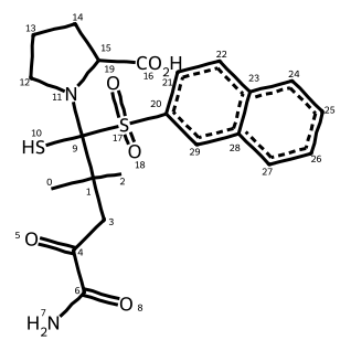 CC(C)(CC(=O)C(N)=O)C(S)(N1CCCC1C(=O)O)S(=O)(=O)c1ccc2ccccc2c1